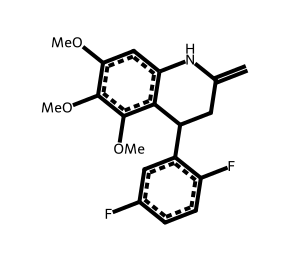 C=C1CC(c2cc(F)ccc2F)c2c(cc(OC)c(OC)c2OC)N1